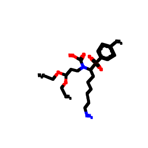 CCOC(CCN(C(=O)O)C(CCCCCCN)S(=O)(=O)c1ccc(C)cc1)OCC